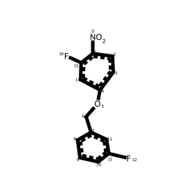 O=[N+]([O-])c1ccc(OCc2cccc(F)c2)cc1F